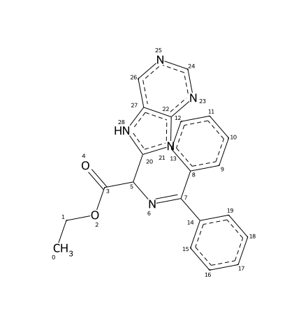 CCOC(=O)C(N=C(c1ccccc1)c1ccccc1)c1nc2ncncc2[nH]1